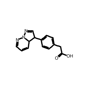 O=C(O)Cc1ccc(C2C=NN3N=CC=CC23)cc1